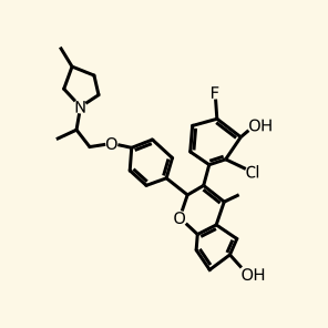 CC1=C(c2ccc(F)c(O)c2Cl)C(c2ccc(OCC(C)N3CCC(C)C3)cc2)Oc2ccc(O)cc21